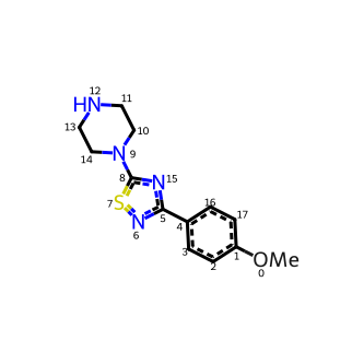 COc1ccc(-c2nsc(N3CCNCC3)n2)cc1